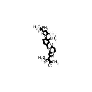 Bc1cc(CN2C(=O)CCn3nc(/C(=C(\C)CC)N(C)C(C)C)cc32)ccc1-n1nc(C(C)(F)P)cc1C